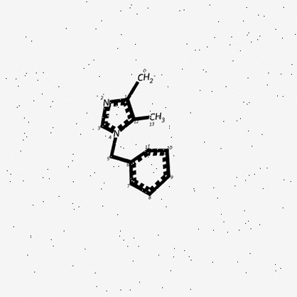 [CH2]c1ncn(Cc2ccccc2)c1C